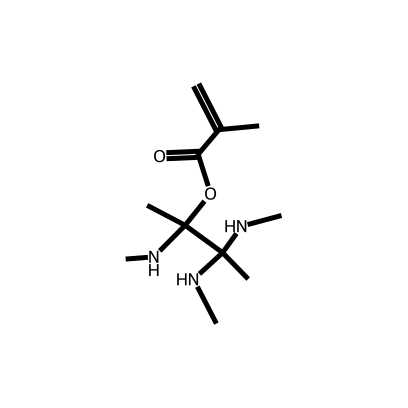 C=C(C)C(=O)OC(C)(NC)C(C)(NC)NC